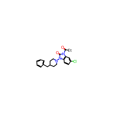 CCC(=O)n1c(=O)n(N2CCC(Cc3ccccc3)CC2)c2ccc(Cl)cc21